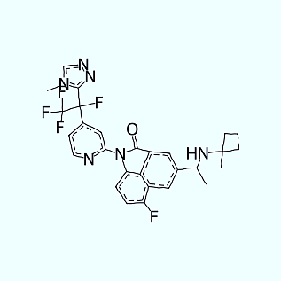 CC(NC1(C)CCC1)c1cc2c3c(ccc(F)c3c1)N(c1cc(C(F)(c3nncn3C)C(F)(F)F)ccn1)C2=O